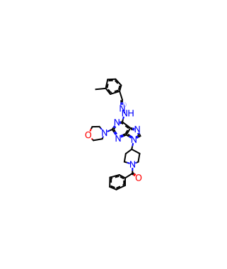 Cc1cccc(/C=N/Nc2nc(N3CCOCC3)nc3c2ncn3C2CCN(C(=O)c3ccccc3)CC2)c1